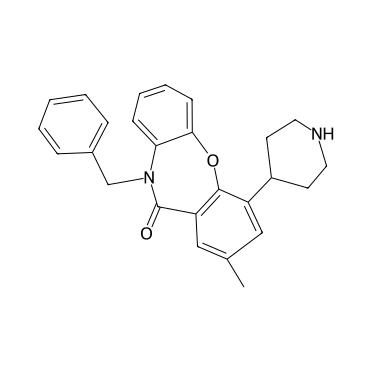 Cc1cc2c(c(C3CCNCC3)c1)Oc1ccccc1N(Cc1ccccc1)C2=O